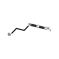 C=C=NCCBr